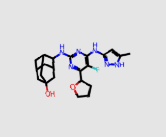 Cc1cc(Nc2nc(NC3C4CC5CC3CC(O)(C5)C4)nc(C3CCCO3)c2F)n[nH]1